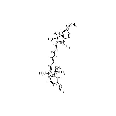 COc1ccc2c(c1)C(C)(C)C(/C=C/C=C/C=C/C=C1/N(C)c3ccc(OC)cc3C1(C)C)=[N+]2C